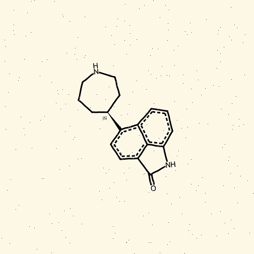 O=C1Nc2cccc3c([C@H]4CCCNCC4)ccc1c23